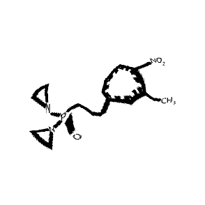 Cc1cc(CCP(=O)(N2CC2)N2CC2)ccc1[N+](=O)[O-]